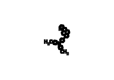 Cc1ccc(N(c2ccc(C)cc2)c2ccc(-c3ccc4ccc5cc6cccnc6c6ccc3c4c56)cc2)cc1